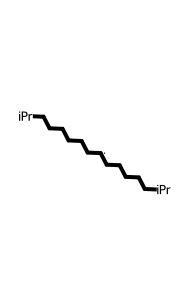 CC(C)CCCCC[CH]CCCCCCC(C)C